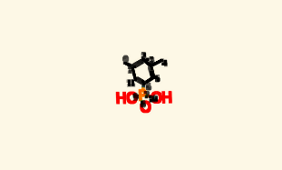 Cc1[c]c(C)cc(P(=O)(O)O)c1